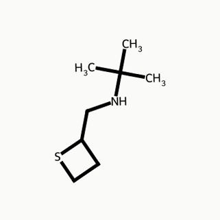 CC(C)(C)NCC1CCS1